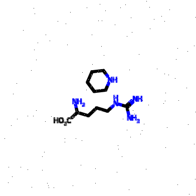 C1CCNCC1.N=C(N)NCCCC(N)C(=O)O